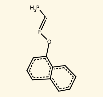 PN=POc1cccc2ccccc12